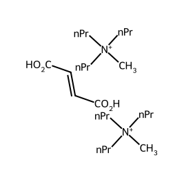 CCC[N+](C)(CCC)CCC.CCC[N+](C)(CCC)CCC.O=C(O)/C=C/C(=O)O